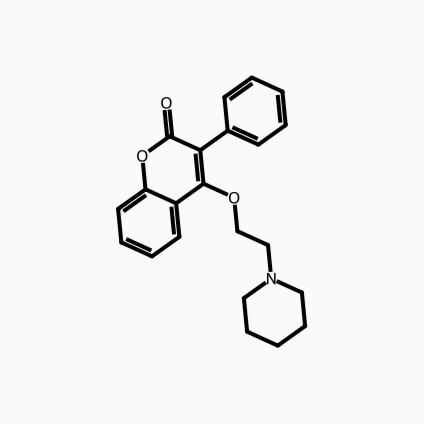 O=c1oc2ccccc2c(OCCN2CCCCC2)c1-c1ccccc1